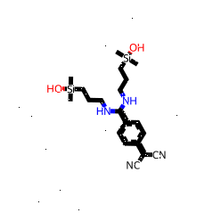 C[Si](C)(O)CCCNC(NCCC[Si](C)(C)O)=c1ccc(=C(C#N)C#N)cc1